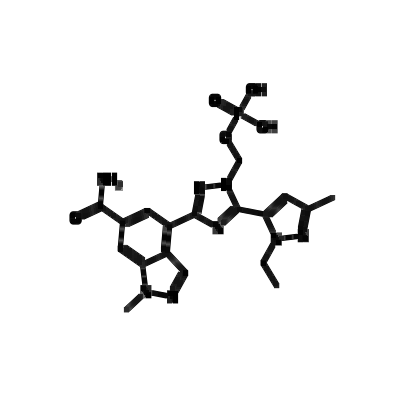 CCn1nc(C)cc1-c1nc(-c2cc(C(N)=O)cc3c2cnn3C)nn1COP(=O)(O)O